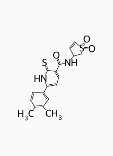 Cc1ccc(-c2ccc(C(=O)NC3C=CS(=O)(=O)C3)c(=S)[nH]2)cc1C